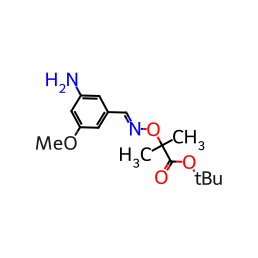 COc1cc(N)cc(C=NOC(C)(C)C(=O)OC(C)(C)C)c1